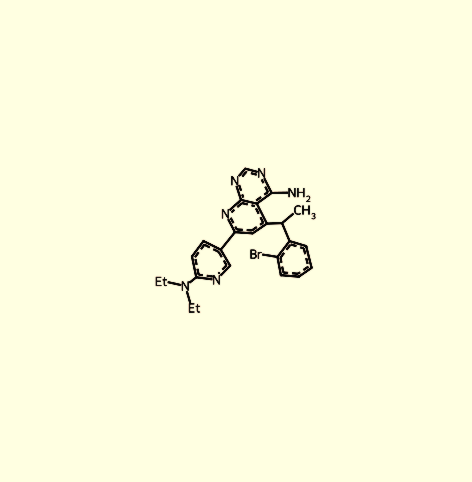 CCN(CC)c1ccc(-c2cc(C(C)c3ccccc3Br)c3c(N)ncnc3n2)cn1